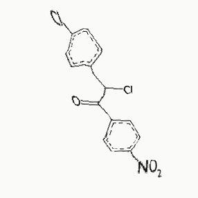 O=C(c1ccc([N+](=O)[O-])cc1)C(Cl)c1ccc(Cl)cc1